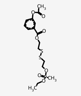 CCOP(C)(=O)OCCSSCCOC(=O)c1cccc(OC(C)=O)c1